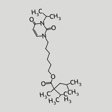 CC(C)CC(C)(C(=O)OCCCCCCn1ccc(=O)n(C(C)C)c1=O)C(C)C